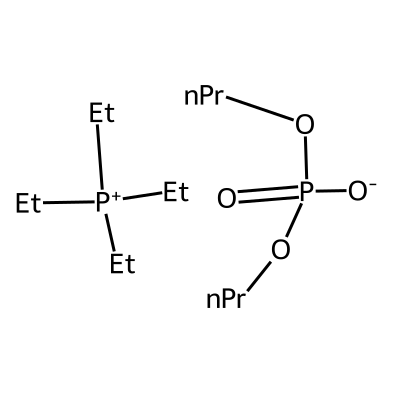 CCCOP(=O)([O-])OCCC.CC[P+](CC)(CC)CC